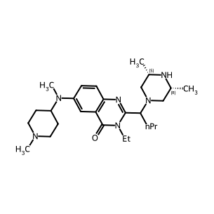 CCCC(c1nc2ccc(N(C)C3CCN(C)CC3)cc2c(=O)n1CC)N1C[C@@H](C)N[C@@H](C)C1